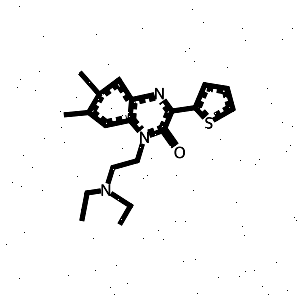 CCN(CC)CCn1c(=O)c(-c2cccs2)nc2cc(C)c(C)cc21